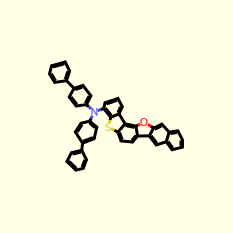 c1ccc(-c2ccc(N(c3ccc(-c4ccccc4)cc3)c3cccc4c3sc3ccc5c6cc7ccccc7cc6oc5c34)cc2)cc1